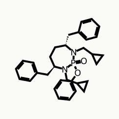 O=P1(Oc2ccccc2)N(CC2CC2)[C@@H](Cc2ccccc2)CC[C@H](Cc2ccccc2)N1CC1CC1